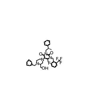 Cc1c(N2CCN(Cc3ccccc3)C(CO)C2)c(=O)n(C[C@H](C)c2ccccc2)c(=O)n1Cc1c(F)cccc1C(F)(F)F